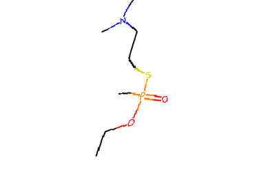 CCOP(C)(=O)SCCN(C)C